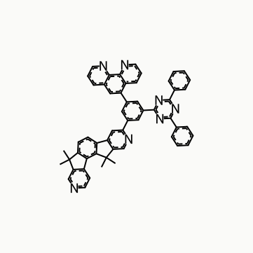 CC1(C)c2cnccc2-c2c1ccc1c2C(C)(C)c2cnc(-c3cc(-c4nc(-c5ccccc5)nc(-c5ccccc5)n4)cc(-c4cc5cccnc5c5ncccc45)c3)cc2-1